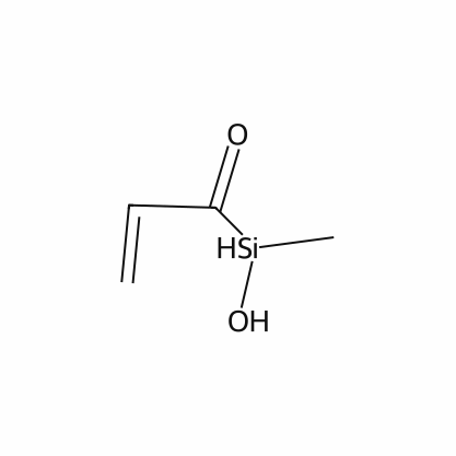 C=CC(=O)[SiH](C)O